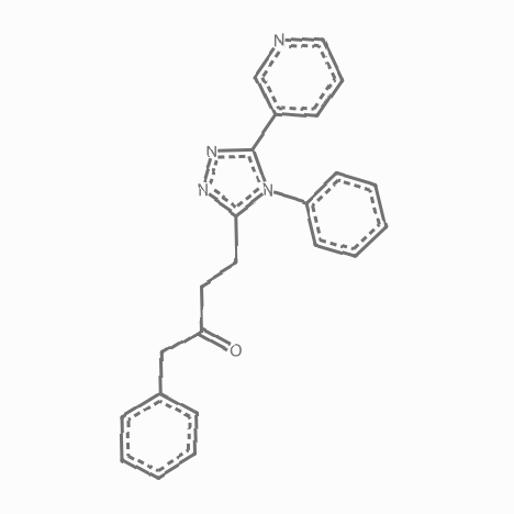 O=C(CCc1nnc(-c2cccnc2)n1-c1ccccc1)Cc1ccccc1